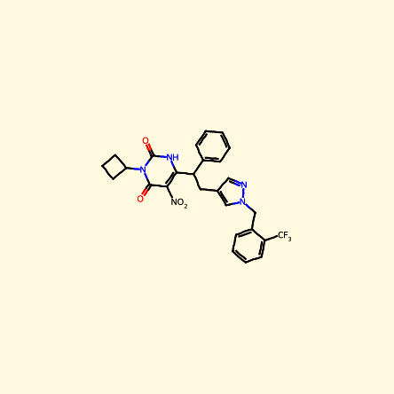 O=c1[nH]c(C(Cc2cnn(Cc3ccccc3C(F)(F)F)c2)c2ccccc2)c([N+](=O)[O-])c(=O)n1C1CCC1